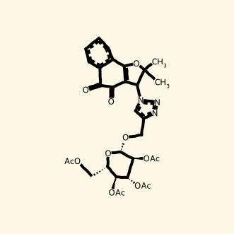 CC(=O)OC[C@@H]1O[C@H](OCc2cn(C3C4=C(OC3(C)C)c3ccccc3C(=O)C4=O)nn2)[C@@H](OC(C)=O)[C@H](OC(C)=O)[C@H]1OC(C)=O